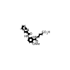 COc1ccc(NC(=O)c2cn3ccsc3n2)cc1C(=O)NCCCC(=O)O